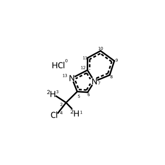 Cl.[2H]C([2H])(Cl)c1cn2ccccc2n1